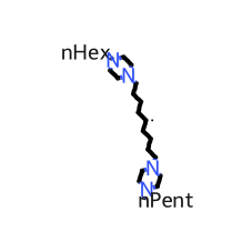 CCCCCCN1CCN(CCCC[CH]CCCCN2CCN(CCCCC)CC2)CC1